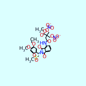 CCOc1cc([C@@H](CS(C)(=O)=O)N2C(=O)c3cccc(NC(=O)CC(CO[N+](=O)[O-])(CO[N+](=O)[O-])C(=O)OC)c3C2=O)ccc1OC